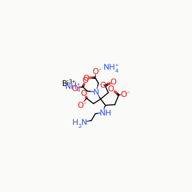 NCCNC(CC(=O)[O-])C(CC(=O)[O-])(CC(=O)[O-])N(CC(=O)[O-])CC(=O)[O-].[Bi+3].[NH4+].[NH4+]